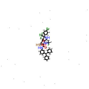 CC(C)(F)C[C@H](N[C@@](C#CCO)(c1ccc(Br)cc1)C(F)(F)F)C(=O)N[C@@H](CS)C(=O)Nc1cccc(C(c2ccccc2)c2ccccc2)c1